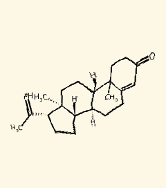 CC(=P)[C@H]1CC[C@H]2[C@@H]3CCC4=CC(=O)CCC4(C)[C@H]3CC[C@]12C